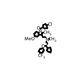 COc1ccc2c(c1)c(CCN(C)CC[C@H](Oc1ccc(C(F)(F)F)cc1)c1ccccc1)c(C)n2C(=O)c1ccc(Cl)cc1